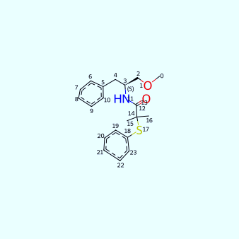 COC[C@H](Cc1ccccc1)NC(=O)C(C)(C)Sc1ccccc1